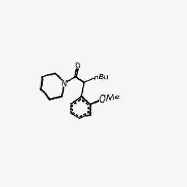 CCCCC(C(=O)N1CCCCC1)c1ccccc1OC